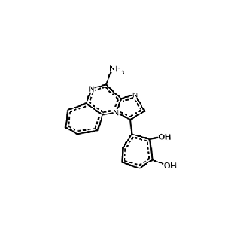 Nc1nc2ccccc2n2c(-c3cccc(O)c3O)cnc12